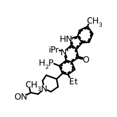 CCc1cc2c(=O)c3c4ccc(C)cc4[nH]c3n(C(C)C)c2c(P)c1C1CCN(CC(C)N=O)CC1